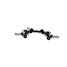 CN[C@@H](C)C(=O)NC(C(=O)N1CCC[C@H]1C(=O)N[C@@H]1CCc2c(OCCOCCOc3cccc4c3CC[C@H]4NC(=O)[C@@H]3CCCN3C(=O)C(NC(=O)[C@H](C)NC)C3CCCCC3)cccc21)C1CCCCC1